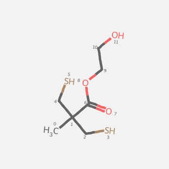 CC(CS)(CS)C(=O)OCCO